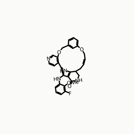 COc1c(F)cccc1Nc1c2[nH]c3c1C(=O)NCC3C/C=C\COc1cccc(c1)COc1cnccc1-2